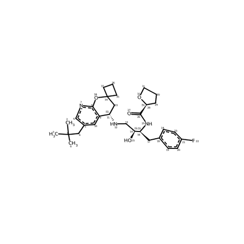 CC(C)(C)Cc1cnc2c(c1)[C@@H](NC[C@H](O)[C@H](Cc1ccc(F)cc1)NC(=O)[C@@H]1CCCO1)CC1(CCC1)O2